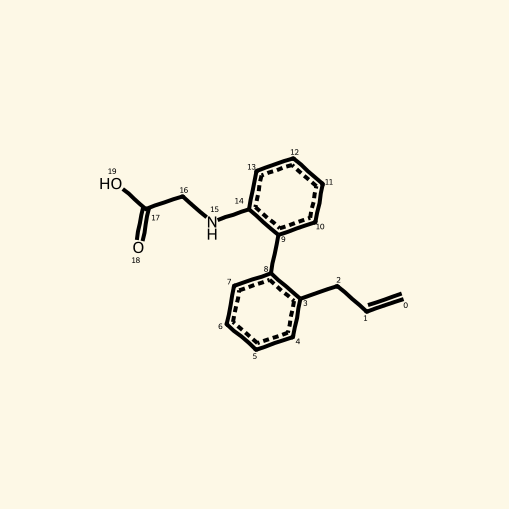 C=CCc1ccccc1-c1ccccc1NCC(=O)O